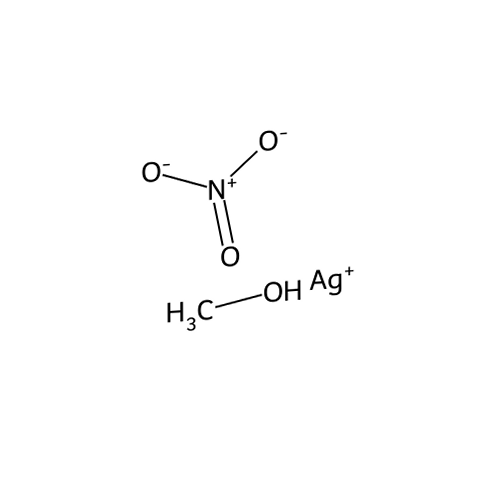 CO.O=[N+]([O-])[O-].[Ag+]